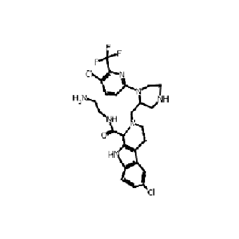 NCCNC(=O)C1c2[nH]c3ccc(Cl)cc3c2CCN1CC1CNCCN1c1ccc(Cl)c(C(F)(F)F)n1